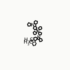 CC1(C)c2ccc3c(c2C2C=CC=CC21)c1ccccc1n3-c1cccc([Si](c2ccccc2)(c2ccccc2)c2ccc3c(c2)c2ccccc2n3-c2ccccc2)c1